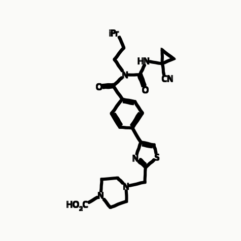 CC(C)CCN(C(=O)NC1(C#N)CC1)C(=O)c1ccc(-c2csc(CN3CCN(C(=O)O)CC3)n2)cc1